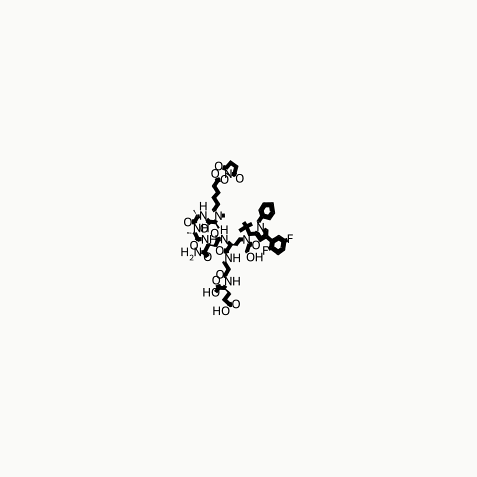 C[C@H](NC(=O)[C@H](C)NC(=O)[C@H](C)N(C)CCCCCC(=O)ON1C(=O)CCC1=O)C(=O)N[C@@H](CC(=O)N[C@@H](CCN(C(=O)CO)[C@@H](c1cc(-c2cc(F)ccc2F)cn1Cc1ccccc1)C(C)(C)C)C(=O)NCCC(=O)N[C@@H](CCC(=O)O)C(=O)O)C(N)=O